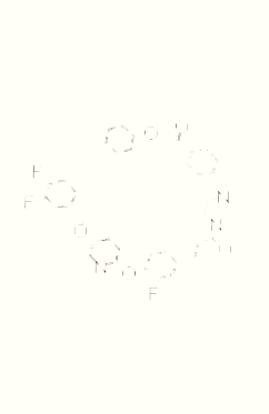 Cc1ccc(OCC(=O)c2ccc(CN3CCN(C(=O)/C=C/c4ccc(Oc5ccc(OCc6ccc(F)c(F)c6)cn5)c(F)c4)CC3)cc2)cc1